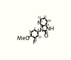 COc1ccc(-n2c(=O)[nH]c3cccnc32)cc1F